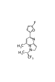 CC1=CC(c2ccc(F)o2)=NC2=CCN([C@H](C)C(F)(F)F)N12